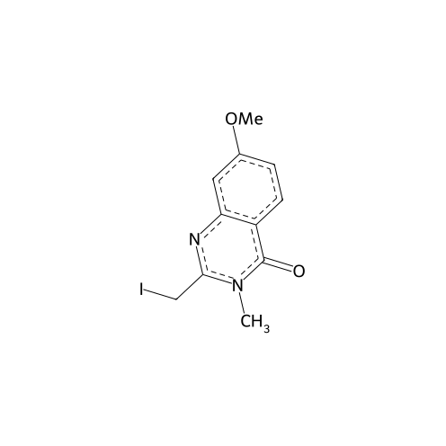 COc1ccc2c(=O)n(C)c(CI)nc2c1